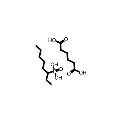 CCCCCC(CC)P(=O)(O)O.O=C(O)CCCCC(=O)O